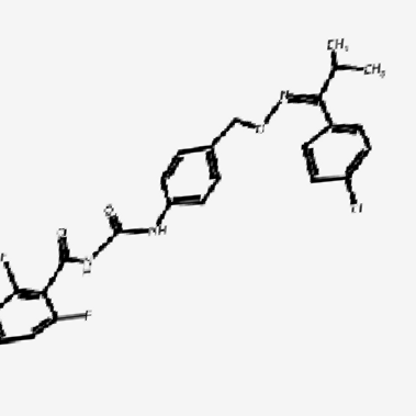 CC(C)C(=NOCc1ccc(NC(=O)NC(=O)c2c(F)cccc2F)cc1)c1ccc(Cl)cc1